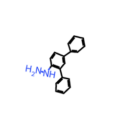 NNc1ccc(-c2ccccc2)cc1-c1ccccc1